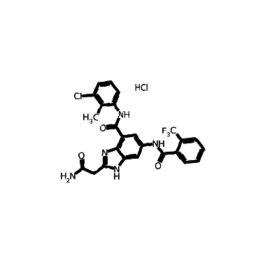 Cc1c(Cl)cccc1NC(=O)c1cc(NC(=O)c2ccccc2C(F)(F)F)cc2[nH]c(CC(N)=O)nc12.Cl